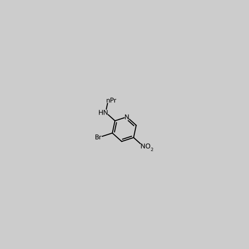 CCCNc1ncc([N+](=O)[O-])cc1Br